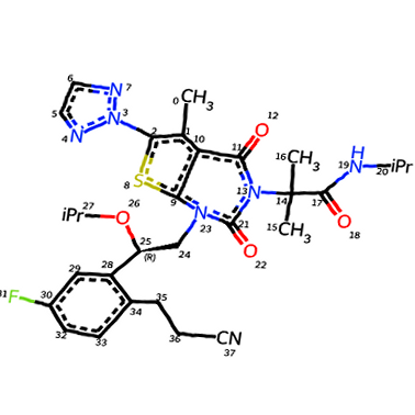 Cc1c(-n2nccn2)sc2c1c(=O)n(C(C)(C)C(=O)NC(C)C)c(=O)n2C[C@H](OC(C)C)c1cc(F)ccc1CCC#N